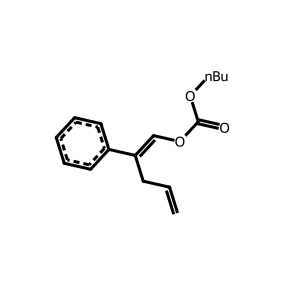 C=CCC(=COC(=O)OCCCC)c1ccccc1